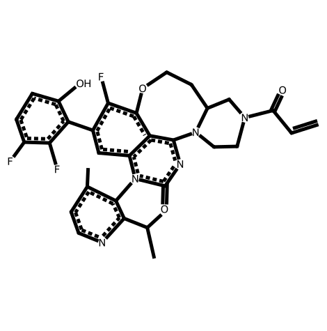 C=CC(=O)N1CCN2c3nc(=O)n(-c4c(C)ccnc4C(C)C)c4cc(-c5c(O)ccc(F)c5F)c(F)c(c34)OCCC2C1